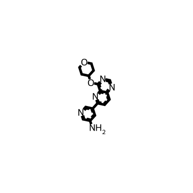 Nc1cncc(-c2ccc3ncnc(OC4CCOCC4)c3n2)c1